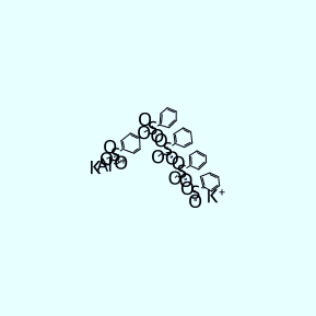 O=S(=O)([O-])c1ccccc1.O=S(=O)([O-])c1ccccc1.O=S(=O)([O-])c1ccccc1.O=S(=O)([O-])c1ccccc1.O=[S-](=O)c1ccccc1.[Al+3].[K+].[K+]